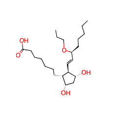 CCCCC[C@@H](/C=C/[C@@H]1[C@@H](CCCCCCC(=O)O)[C@@H](O)C[C@H]1O)OCCC